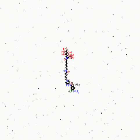 COc1cc(N)c(Cl)cc1C(=O)NC1CCN(CCCCCC(=O)NCCCCCCCC(=O)N(CCP(=O)(O)O)C[C@H](O)[C@@H](O)[C@H](O)[C@H](O)CO)CC1